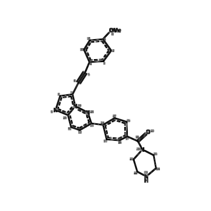 COc1ccc(C#Cc2cnc3ccc(-c4ccc(C(=O)N5CCNCC5)cc4)nn23)cc1